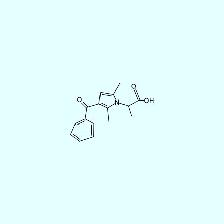 Cc1cc(C(=O)c2ccccc2)c(C)n1C(C)C(=O)O